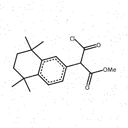 COC(=O)C(C(=O)Cl)c1ccc2c(c1)C(C)(C)CCC2(C)C